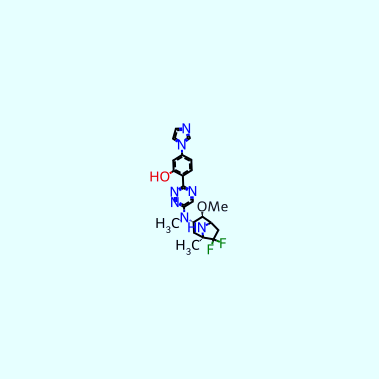 CO[C@H]1C2CC(F)(F)[C@@](C)(C[C@@H]1N(C)c1cnc(-c3ccc(-n4ccnc4)cc3O)nn1)N2